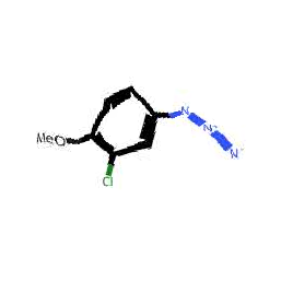 COc1ccc(N=[N+]=[N-])cc1Cl